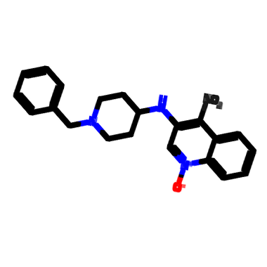 O=[N+]([O-])c1c(NC2CCN(Cc3ccccc3)CC2)c[n+]([O-])c2ccccc12